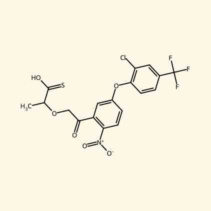 CC(OCC(=O)c1cc(Oc2ccc(C(F)(F)F)cc2Cl)ccc1[N+](=O)[O-])C(O)=S